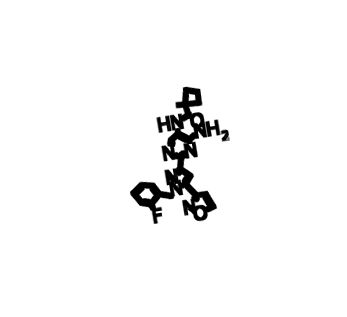 CC1(C(=O)Nc2cnc(-c3cc(-c4ccon4)n(Cc4ccccc4F)n3)nc2N)CCC1